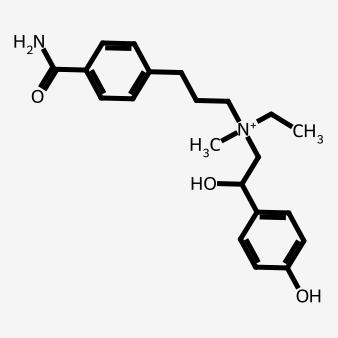 CC[N+](C)(CCCc1ccc(C(N)=O)cc1)CC(O)c1ccc(O)cc1